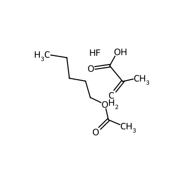 C=C(C)C(=O)O.CCCCCOC(C)=O.F